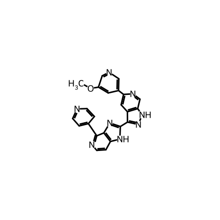 COc1cncc(-c2cc3c(-c4nc5c(-c6ccncc6)nccc5[nH]4)n[nH]c3cn2)c1